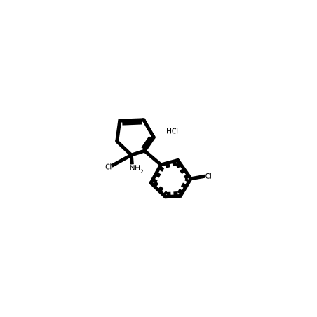 Cl.NC1(Cl)CC=CC=C1c1cccc(Cl)c1